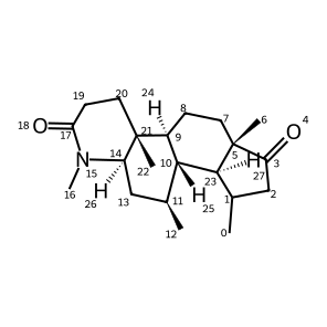 CC1CC(=O)[C@@]2(C)CC[C@H]3[C@@H]([C@@H](C)C[C@H]4N(C)C(=O)CC[C@]34C)[C@H]12